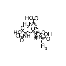 C[C@@H](NC(=O)[C@@H](CSC[C@H](N)C(=O)O)NC(=O)CC[C@@H](NC(=O)Cl)C(=O)O)C(=O)O